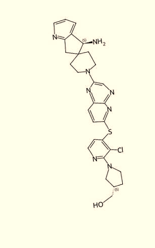 N[C@@H]1c2cccnc2CC12CCN(c1cnc3nc(Sc4ccnc(N5CC[C@H](CO)C5)c4Cl)ccc3n1)CC2